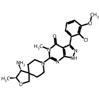 COc1cccc(-c2n[nH]c3nc(N4CCC5(CC4)CO[C@@H](C)[C@H]5N)n(C)c(=O)c23)c1Cl